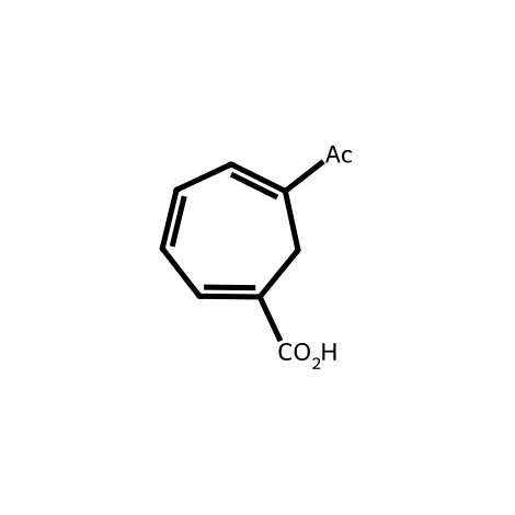 CC(=O)C1=CC=CC=C(C(=O)O)C1